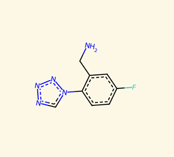 NCc1cc(F)ccc1-n1cnnn1